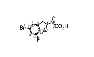 CN(C(=O)O)C1Cc2cc(Br)cc(F)c2O1